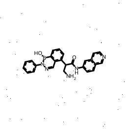 NCC(C(=O)Nc1ccc2cnccc2c1)c1cccc2c1C=NN(c1ccccc1)B2O